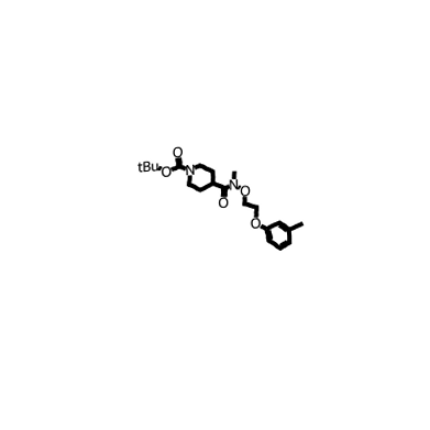 Cc1cccc(OCCON(C)C(=O)C2CCN(C(=O)OC(C)(C)C)CC2)c1